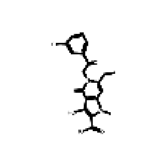 CCc1cc2c(c(O)c(C(=O)O)n2C)c(=O)n1CC(=O)c1cccc(Cl)c1